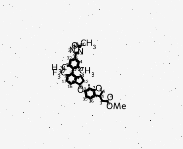 COC(=O)CC1COc2cc(O[C@@H]3CCc4c3ccc(C(F)(F)F)c4-c3c(C)cc(-c4noc(C)n4)cc3C)ccc21